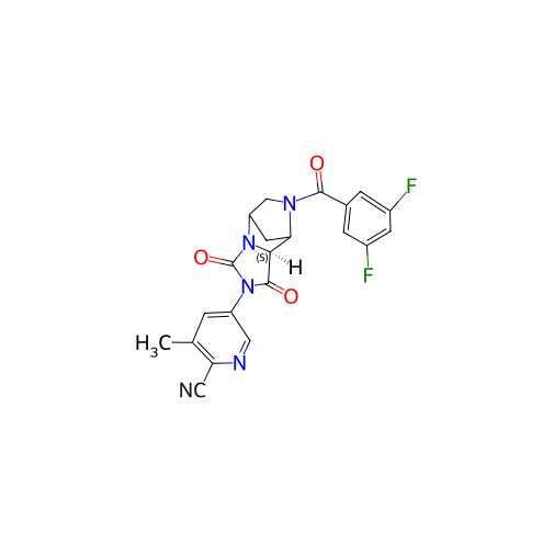 Cc1cc(N2C(=O)[C@@H]3C4CC(CN4C(=O)c4cc(F)cc(F)c4)N3C2=O)cnc1C#N